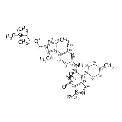 Cc1nn(COCC[Si](C)(C)C)c(C)c1-c1ccc(NC(=O)C(c2cnn(C(C)C)c2C(N)=O)C2CCC(C)CC2)nc1F